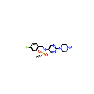 CCCS(=O)(=O)N(Cc1ccc(F)cc1)c1cnc(N2CCNCC2)nc1